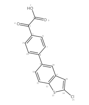 O=C(O)C(=O)c1ccc(-c2ccc3sc(Cl)cc3c2)cc1